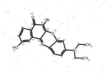 CCN(CC)c1ccc2nc3c4cc(O)ccc4c(=O)c(Br)c-3oc2c1